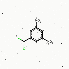 O=[N+]([O-])c1cc(C(Cl)Cl)cc([N+](=O)[O-])c1